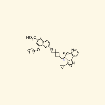 O=C(O)c1cc(O[C@@H]2CCOC2)c2cc(N3CC4(CC(/C=C/c5c(-c6cccnc6C(F)(F)F)noc5C5CC5)C4)C3)ccc2n1